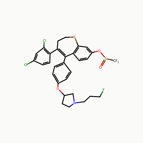 O=S(Oc1ccc2c(c1)SCCC(c1ccc(Cl)cc1Cl)=C2c1ccc(OC2CCN(CCCF)C2)cc1)C(F)(F)F